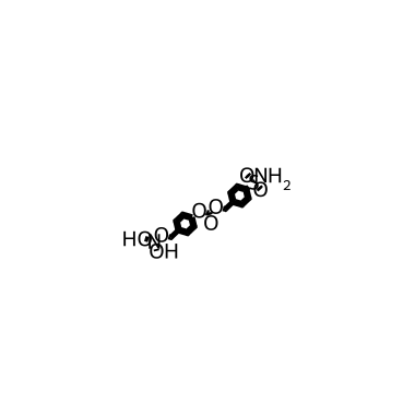 NS(=O)(=O)c1ccc(COC(=O)Oc2ccc(CON(O)O)cc2)cc1